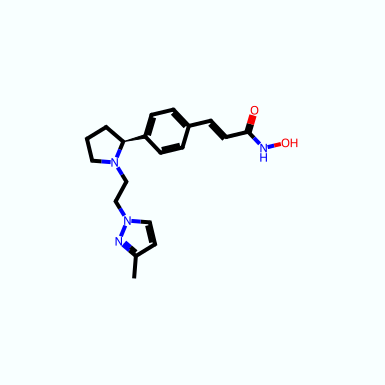 Cc1ccn(CCN2CCC[C@H]2c2ccc(/C=C/C(=O)NO)cc2)n1